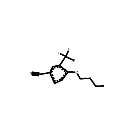 CCCCOc1ccc(C#N)cc1C(F)(F)F